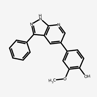 COc1cc(-c2cnc3[nH]nc(-c4ccccc4)c3c2)ccc1O